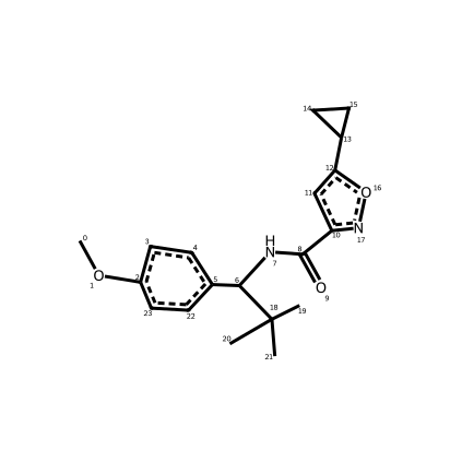 COc1ccc(C(NC(=O)c2cc(C3CC3)on2)C(C)(C)C)cc1